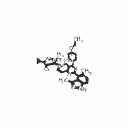 CCO[C@@H]1CCN(c2nc(-c3c(C)ccc4[nH]nc(C)c34)nc3c2CN(c2c(Cl)c(C4CC4)nn2C)CC3)[C@H](C)C1